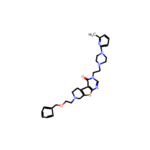 Cc1cccc(N2CCN(CCn3cnc4sc5c(c4c3=O)CCN(CCOCc3ccccc3)C5)CC2)n1